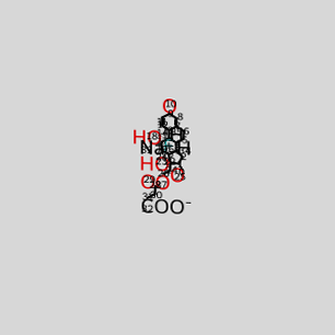 C[C@@H]1C[C@H]2[C@@H]3CCC4=CC(=O)C=C[C@]4(C)[C@@]3(F)[C@@H](O)C[C@]2(C)[C@@]1(O)C(=O)COC(=O)CCC(=O)[O-].[Na+]